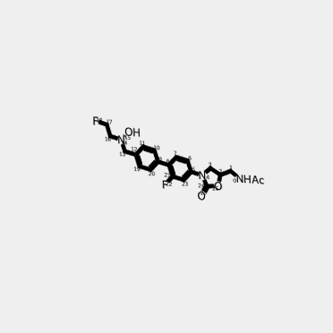 CC(=O)NCC1CN(c2ccc(-c3ccc(CN(O)CCF)cc3)c(F)c2)C(=O)O1